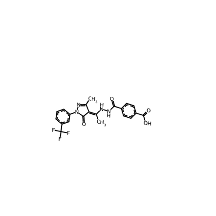 CC1=NN(c2cccc(C(F)(F)F)c2)C(=O)C1=C(C)NNC(=O)c1ccc(C(=O)O)cc1